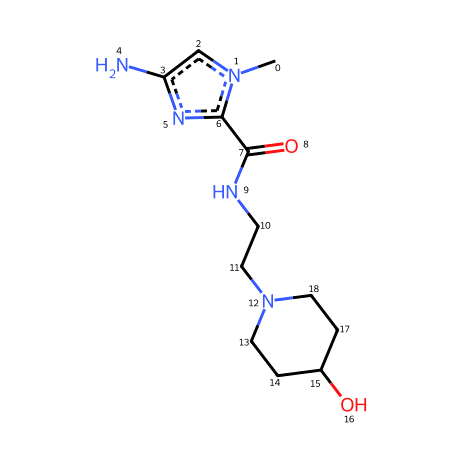 Cn1cc(N)nc1C(=O)NCCN1CCC(O)CC1